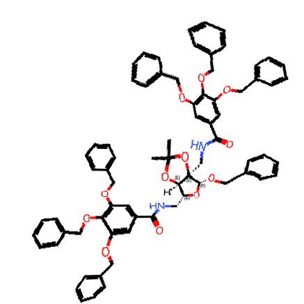 CC1(C)O[C@@H]2[C@@H](CNC(=O)c3cc(OCc4ccccc4)c(OCc4ccccc4)c(OCc4ccccc4)c3)O[C@@H](OCc3ccccc3)[C@]2(CNC(=O)c2cc(OCc3ccccc3)c(OCc3ccccc3)c(OCc3ccccc3)c2)O1